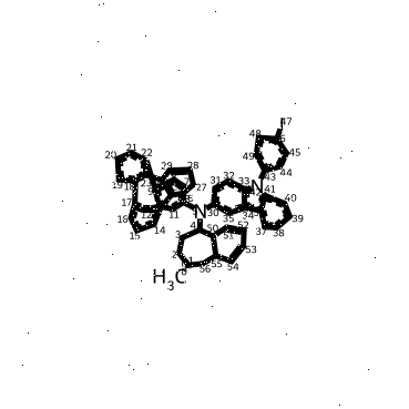 C[C@H]1CCC(N(c2ccc3c(c2)-c2c4cccc2-c2cccc-3c2C2=C4CCC=C2)c2ccc3c(c2)c2ccccc2n3-c2ccc(I)cc2)C2C=CC=CC2C1